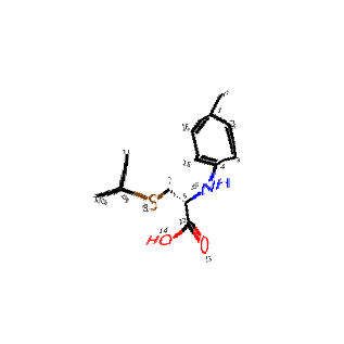 Cc1ccc(N[C@@H](CSC(C)C)C(=O)O)cc1